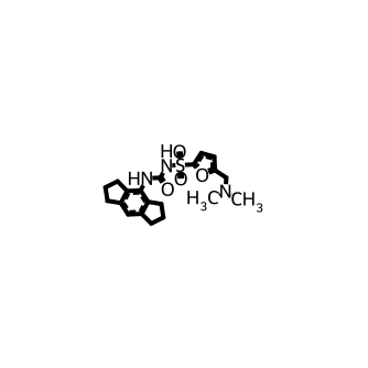 CN(C)Cc1ccc(S(=O)(=O)NC(=O)Nc2c3c(cc4c2CCC4)CCC3)o1